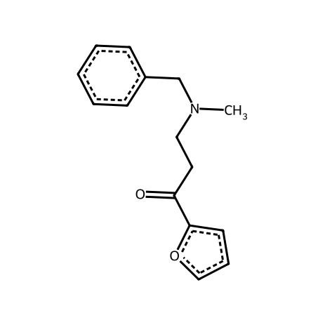 CN(CCC(=O)c1ccco1)Cc1ccccc1